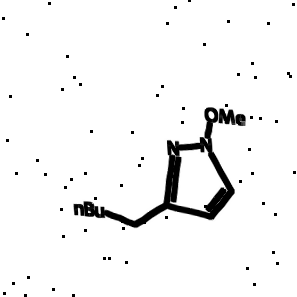 CCCCCc1ccn(OC)n1